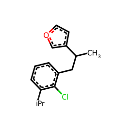 CC(C)c1cccc(CC(C)c2ccoc2)c1Cl